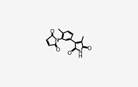 CC1=C(c2ccc(C)c(N3C(=O)C=CC3=O)c2)C(=O)NC1=O